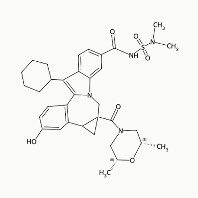 C[C@@H]1CN(C(=O)C23CC2c2cc(O)ccc2-c2c(C4CCCCC4)c4ccc(C(=O)NS(=O)(=O)N(C)C)cc4n2C3)C[C@H](C)O1